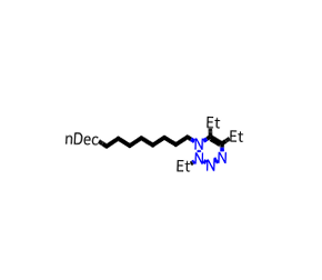 CCCCCCCCCCCCCCCCCCN1C(CC)=C(CC)N=NN1CC